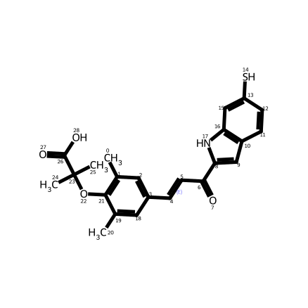 Cc1cc(/C=C/C(=O)c2cc3ccc(S)cc3[nH]2)cc(C)c1OC(C)(C)C(=O)O